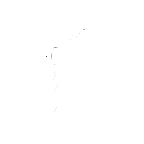 CCCCCCCCCC1CC1CCCCCCOCCCC